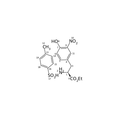 CCOC(=O)[C@@H](N)Cc1ccc(O)c([N+](=O)[O-])c1.Cc1ccc(S(=O)(=O)O)cc1